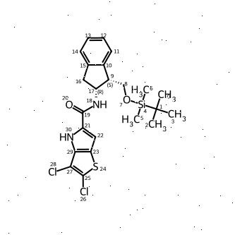 CC(C)(C)[Si](C)(C)OC[C@H]1c2ccccc2C[C@H]1NC(=O)c1cc2sc(Cl)c(Cl)c2[nH]1